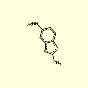 CC(=O)Nc1ccc2nc(C)sc2c1